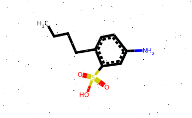 CCCCc1ccc(N)cc1S(=O)(=O)O